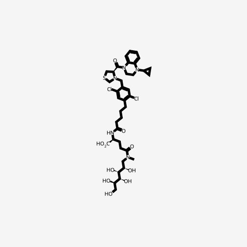 CN(C[C@H](O)[C@@H](O)[C@H](O)[C@H](O)CO)C(=O)CC[C@H](NC(=O)CCCCc1cc(Cl)c(CN2CSC[C@H]2C(=O)N2CCN(C3CC3)c3ccccc32)cc1Cl)C(=O)O